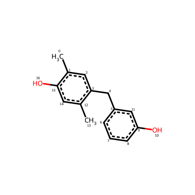 Cc1cc(Cc2cccc(O)c2)c(C)cc1O